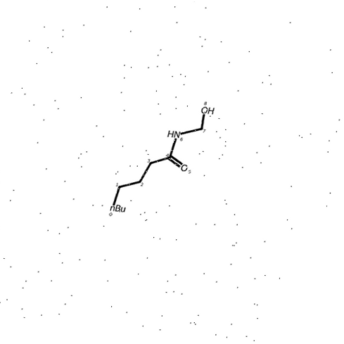 CCCCCCCC(=O)NCO